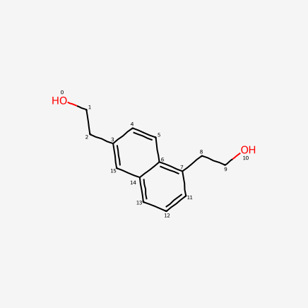 OCCc1ccc2c(CCO)cccc2c1